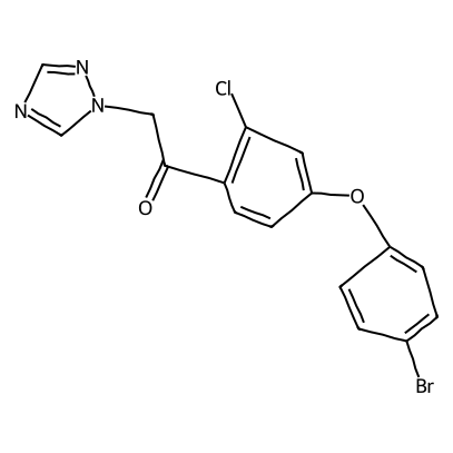 O=C(Cn1cncn1)c1ccc(Oc2ccc(Br)cc2)cc1Cl